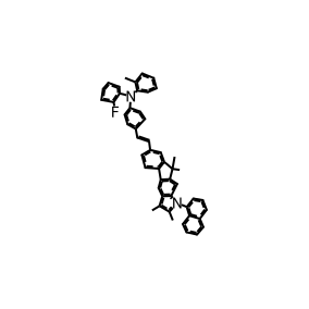 Cc1ccccc1N(c1ccc(/C=C/c2ccc3c(c2)C(C)(C)c2cc4c(cc2-3)c(C)c(C)n4-c2cccc3ccccc23)cc1)c1ccccc1F